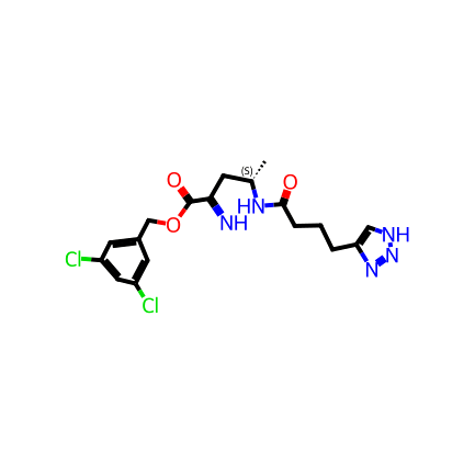 C[C@@H](CC(=N)C(=O)OCc1cc(Cl)cc(Cl)c1)NC(=O)CCCc1c[nH]nn1